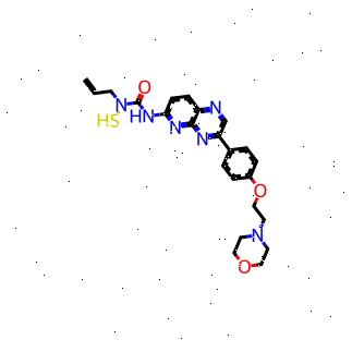 C=CCN(S)C(=O)Nc1ccc2ncc(-c3ccc(OCCN4CCOCC4)cc3)nc2n1